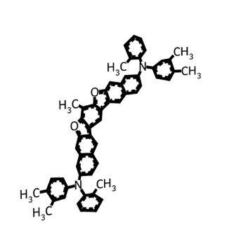 Cc1ccc(N(c2ccc3cc4c(cc3c2)oc2c(C)c3oc5cc6cc(N(c7ccc(C)c(C)c7)c7ccccc7C)ccc6cc5c3cc24)c2ccccc2C)cc1C